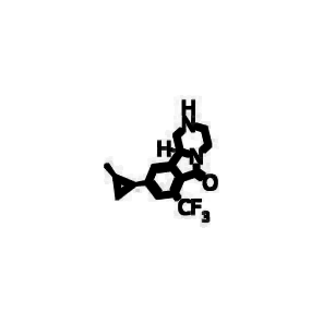 C[C@@H]1C[C@@H]1c1cc2c(c(C(F)(F)F)c1)C(=O)N1CCNC[C@H]21